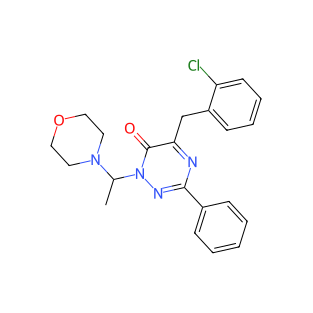 CC(N1CCOCC1)n1nc(-c2ccccc2)nc(Cc2ccccc2Cl)c1=O